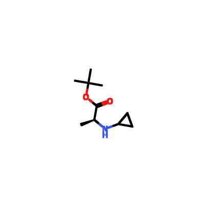 C[C@H](NC1CC1)C(=O)OC(C)(C)C